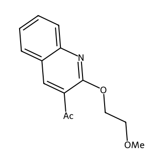 COCCOc1nc2ccccc2cc1C(C)=O